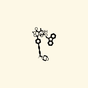 COC(=O)C(NC(=O)c1ccc(C#CC#C[C@@H](C)N2CCOCC2)cc1)C(C)NC(=O)OCC1c2ccccc2-c2ccccc21